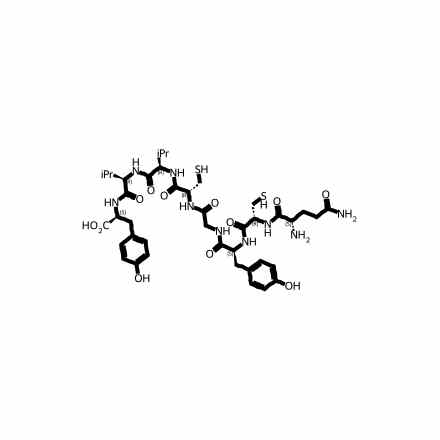 CC(C)[C@@H](NC(=O)[C@H](CS)NC(=O)CNC(=O)[C@H](Cc1ccc(O)cc1)NC(=O)[C@H](CS)NC(=O)[C@@H](N)CCC(N)=O)C(=O)N[C@@H](C(=O)N[C@@H](Cc1ccc(O)cc1)C(=O)O)C(C)C